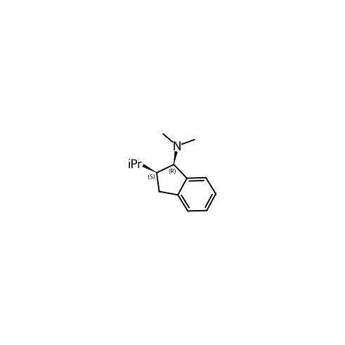 CC(C)[C@@H]1Cc2ccccc2[C@@H]1N(C)C